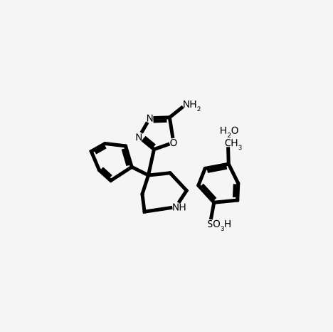 Cc1ccc(S(=O)(=O)O)cc1.Nc1nnc(C2(c3ccccc3)CCNCC2)o1.O